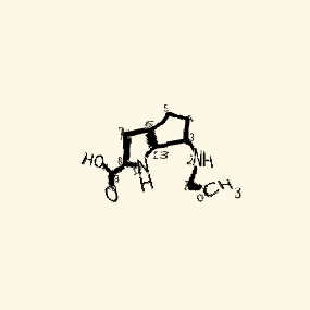 CCNC1CCc2cc(C(=O)O)[nH]c21